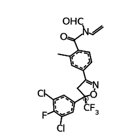 C=CN(C=O)C(=O)c1ccc(C2=NO[C@@](c3cc(Cl)c(F)c(Cl)c3)(C(F)(F)F)C2)cc1C